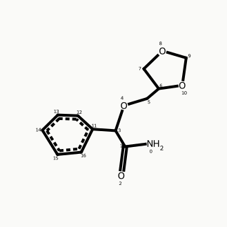 NC(=O)C(OCC1COCO1)c1ccccc1